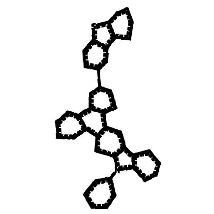 c1ccc(-n2c3ccccc3c3cc4c5ccc(-c6ccc7sc8ccccc8c7c6)cc5c5ccccc5c4cc32)cc1